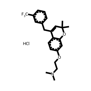 CN(C)CCOc1ccc2c(c1)OC(C)(C)C=C2Cc1cccc(C(F)(F)F)c1.Cl